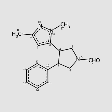 Cc1cc(C2CN(C=O)CC2c2ccccc2)n(C)n1